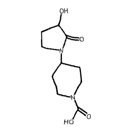 O=C(O)N1CCC(N2CCC(O)C2=O)CC1